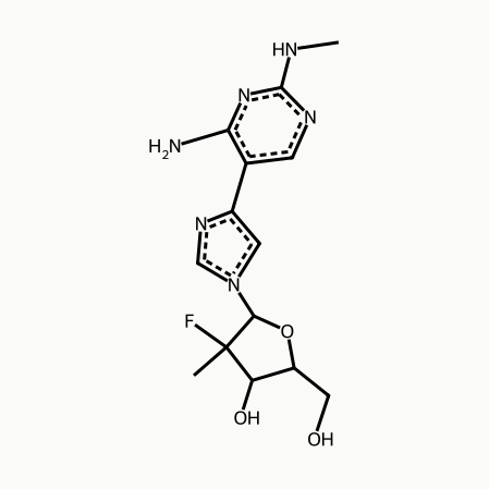 CNc1ncc(-c2cn(C3OC(CO)C(O)C3(C)F)cn2)c(N)n1